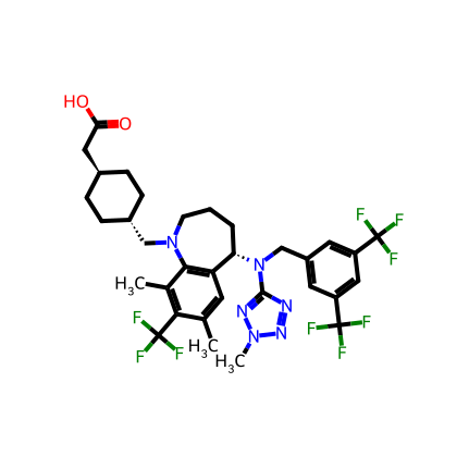 Cc1cc2c(c(C)c1C(F)(F)F)N(C[C@H]1CC[C@H](CC(=O)O)CC1)CCC[C@@H]2N(Cc1cc(C(F)(F)F)cc(C(F)(F)F)c1)c1nnn(C)n1